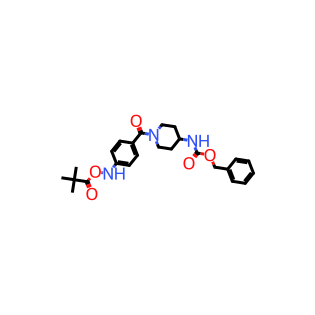 CC(C)(C)C(=O)ONc1ccc(C(=O)N2CCC(NC(=O)OCc3ccccc3)CC2)cc1